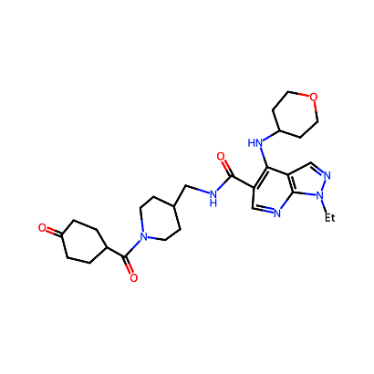 CCn1ncc2c(NC3CCOCC3)c(C(=O)NCC3CCN(C(=O)C4CCC(=O)CC4)CC3)cnc21